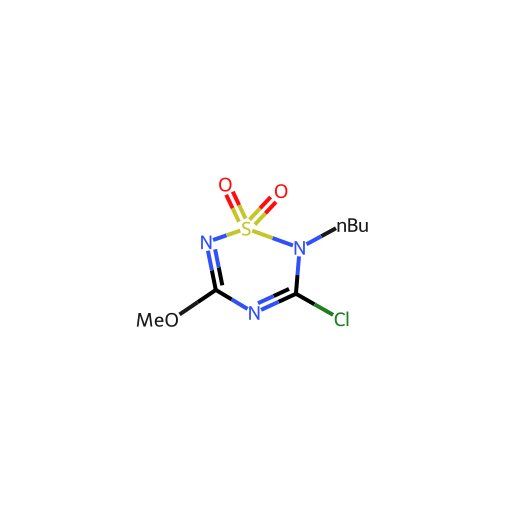 CCCCN1C(Cl)=NC(OC)=NS1(=O)=O